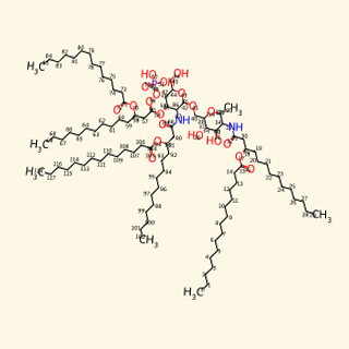 CCCCCCCCCCCCCCCC(=O)O[C@H](CCCCCCCCCCC)CC(=O)NC1[C@@H](O)[C@H](O)C(CO[C@@H]2OC(CO)[C@@H](OP(=O)(O)O)[C@H](OC(=O)C[C@@H](CCCCCCCCCCC)OC(=O)CCCCCCCCCCCCC)C2NC(=O)C[C@@H](CCCCCCCCCCC)OC(=O)CCCCCCCCCCCCC)O[C@@H]1C